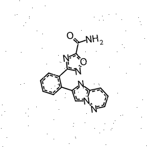 NC(=O)c1nc(-c2ccccc2-c2cn3ncccc3n2)no1